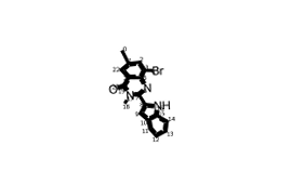 Cc1cc(Br)c2nc(-c3cc4ccccc4[nH]3)n(C)c(=O)c2c1